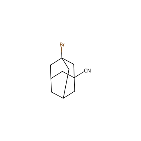 N#CC12CC3CC(CC(Br)(C3)C1)C2